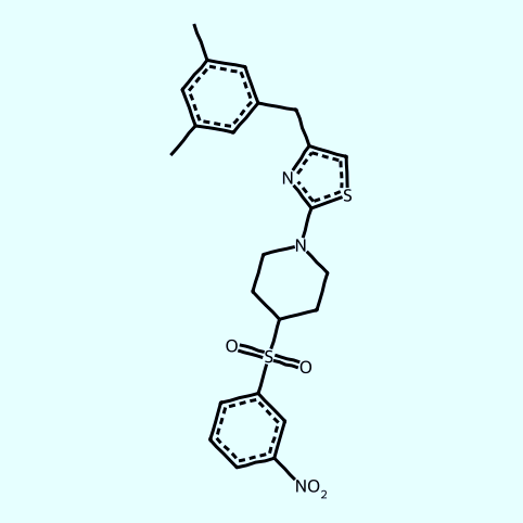 Cc1cc(C)cc(Cc2csc(N3CCC(S(=O)(=O)c4cccc([N+](=O)[O-])c4)CC3)n2)c1